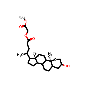 CC(CCC(=O)OCC(=O)OC(C)(C)C)C1CCC2C3CCC4CC(O)CC[C@]4(C)C3CC[C@]12C